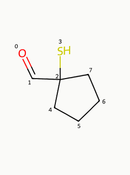 O=CC1(S)CCCC1